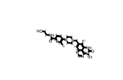 CCN1C(=O)Nc2c(F)c(CN3CCN(c4ccc(C(=O)NCCO)nc4C)CC3)cc3ncnc1c23